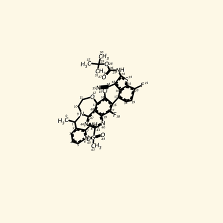 CC(c1cccnc1N)N1CCOc2c(Cl)c(-c3ccc(F)c4sc(NC(=O)OC(C)(C)C)c(C#N)c34)c(F)c3nc(S(C)(=O)=O)nc1c23